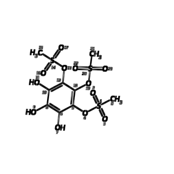 CS(=O)(=O)Oc1c(O)c(O)c(O)c(OS(C)(=O)=O)c1OS(C)(=O)=O